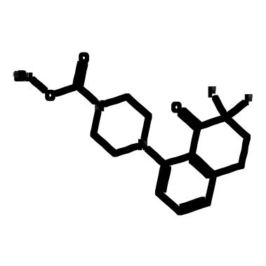 CC(C)(C)OC(=O)N1CCN(c2cccc3c2C(=O)C(F)(F)CC3)CC1